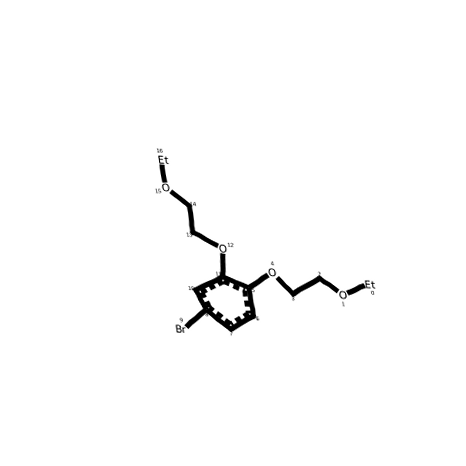 CCOCCOc1ccc(Br)cc1OCCOCC